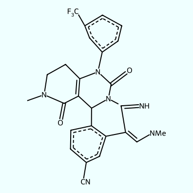 CN/C=C(\C=N)c1cc(C#N)ccc1C1C2=C(CCN(C)C2=O)N(c2cccc(C(F)(F)F)c2)C(=O)N1C